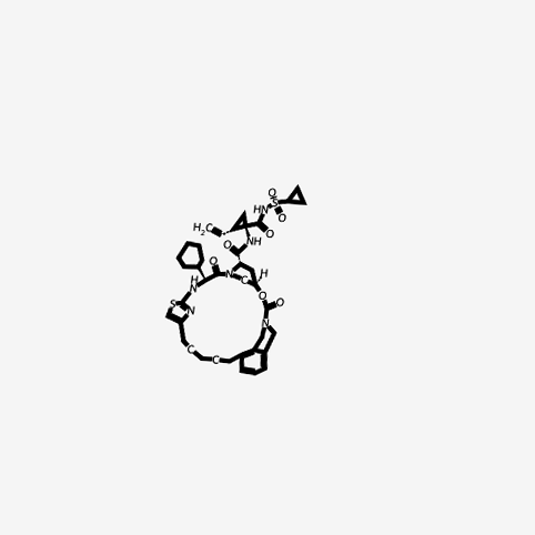 C=C[C@@H]1C[C@]1(NC(=O)[C@@H]1C[C@@H]2CN1C(=O)[C@H](C1CCCCC1)Nc1nc(cs1)CCCCCc1cccc3c1CN(C3)C(=O)O2)C(=O)NS(=O)(=O)C1CC1